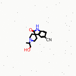 CC(CO)N1CCC2(CC1)C(=O)Nc1ccc(C#N)cc12